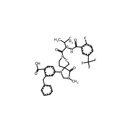 CC(C)[C@@H](NC(=O)c1cc(C(F)(F)F)ccc1F)C(=O)N1CCC2(CC1)C(=O)N(C)CN2c1ccc(C(=O)O)c(Cc2ccccc2)c1